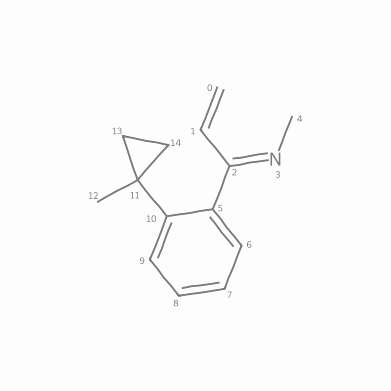 C=C/C(=N\C)c1ccccc1C1(C)CC1